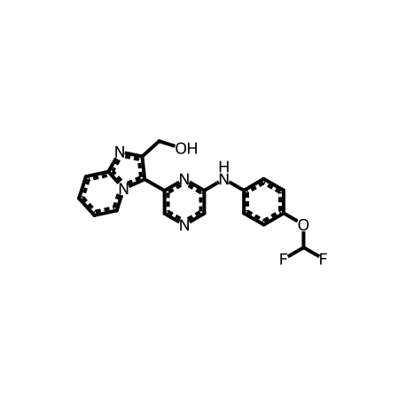 OCc1nc2ccccn2c1-c1cncc(Nc2ccc(OC(F)F)cc2)n1